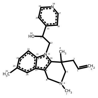 C=CCC1(C)CN(C)Cc2c1n(CC(O)c1ccncc1)c1ccc(C)cc21